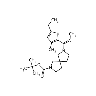 CCc1cc(C)c(/C(=N\C)N2CCC3(CCN(C(=O)OC(C)(C)C)C3)C2)s1